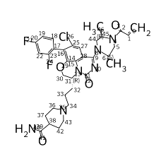 C=CC(=O)N1C[C@H](C)N(c2nc(=O)n3c4c(c(-c5ccc(F)cc5F)c(Cl)cc24)OC[C@H]3CCCN2CCC(C(N)=O)CC2)C[C@H]1C